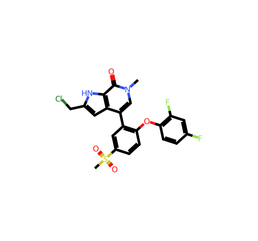 Cn1cc(-c2cc(S(C)(=O)=O)ccc2Oc2ccc(F)cc2F)c2cc(CCl)[nH]c2c1=O